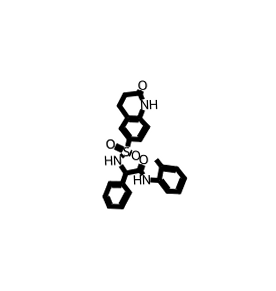 Cc1ccccc1NC(=O)C(NS(=O)(=O)c1ccc2c(c1)CCC(=O)N2)c1ccccc1